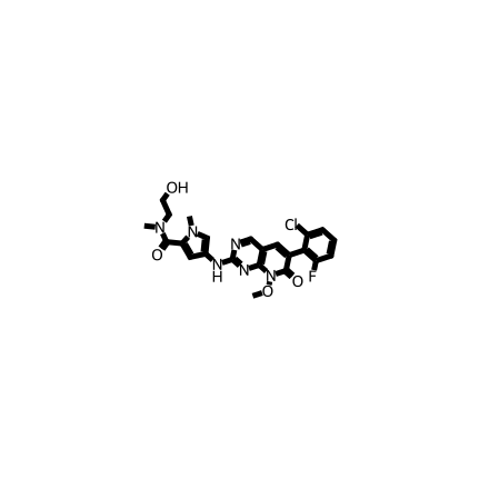 COn1c(=O)c(-c2c(F)cccc2Cl)cc2cnc(Nc3cc(C(=O)N(C)CCO)n(C)c3)nc21